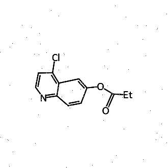 CCC(=O)Oc1ccc2nccc(Cl)c2c1